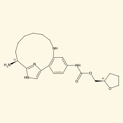 N[C@H]1CCCCCCNc2cc(NC(=O)OC[C@H]3CCCO3)ccc2-c2c[nH]c1n2